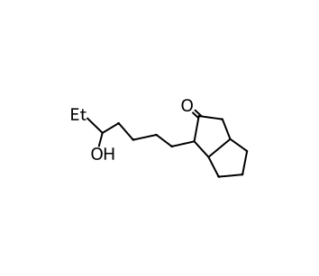 CCC(O)CCCCC1C(=O)CC2CCCC21